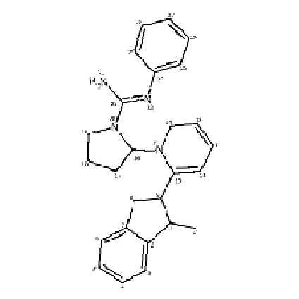 CC1c2ccccc2CC1C1=CC=CCN1C1CCCN1C(N)=Nc1ccccc1